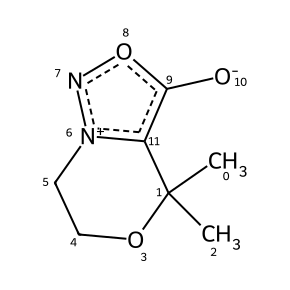 CC1(C)OCC[n+]2noc([O-])c21